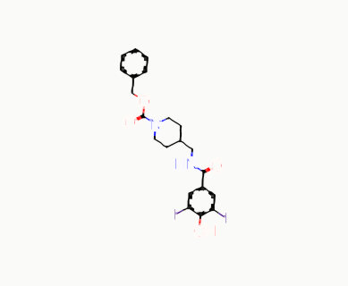 O=C(NCC1CCN(C(=O)OCc2ccccc2)CC1)c1cc(I)c(O)c(I)c1